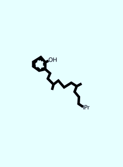 CC(C)CCCC(C)CCCC(C)CCc1ccccc1O